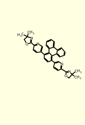 CC1(C)COC(c2ccc(-c3ccc(-c4ccc(C5=NC(C)(C)CO5)nc4)c4c5ccccc5c5ccccc5c34)cn2)=N1